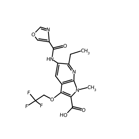 CCc1nc2c(cc1NC(=O)c1cocn1)c(OCC(F)(F)F)c(C(=O)O)n2C